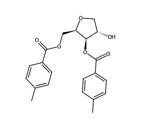 Cc1ccc(C(=O)OC[C@H]2OC[C@H](O)[C@H]2OC(=O)c2ccc(C)cc2)cc1